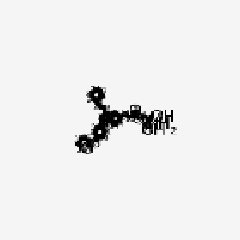 NC(CO)(CO)COC(=O)CCc1ccc2c(c1)c(CCc1ccccc1)cn2-c1ccc(OC2CCCCO2)cc1